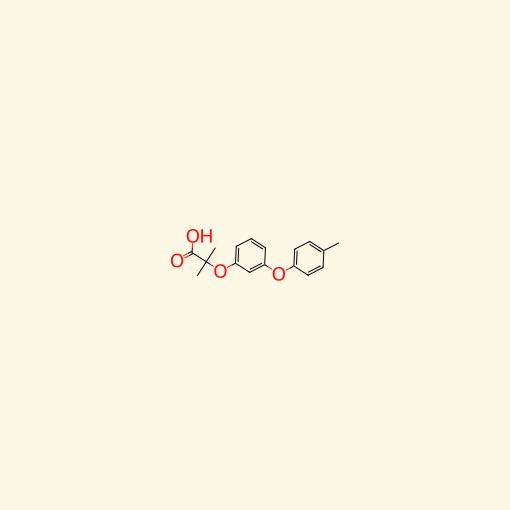 Cc1ccc(Oc2cccc(OC(C)(C)C(=O)O)c2)cc1